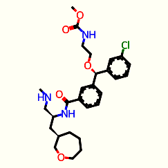 CNC[C@H](C[C@H]1CCCCOC1)NC(=O)c1cccc([C@@H](OCCNC(=O)OC)c2cccc(Cl)c2)c1